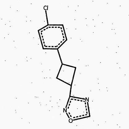 Clc1ccc(C2CC(c3ncon3)C2)cc1